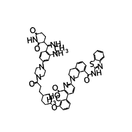 CNc1cc(N2CCN(C(=O)CCC3CCC(Oc4cccc(-c5ccc(N6CCc7cccc(C(=O)Nc8nc9ccccc9s8)c7C6)nc5C(=O)O)c4C)CC3)CC2)ccc1C(=N)C1CCC(=O)NC1=O